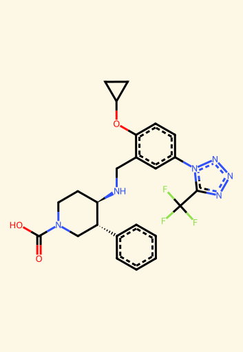 O=C(O)N1CC[C@@H](NCc2cc(-n3nnnc3C(F)(F)F)ccc2OC2CC2)[C@H](c2ccccc2)C1